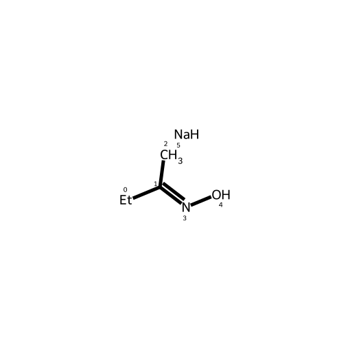 CC/C(C)=N/O.[NaH]